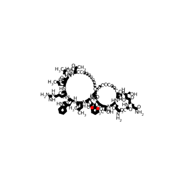 CC(=O)N[C@@H](CCC(N)=O)C(=O)C(=O)[C@H](CO)NN[C@]1(C)CCCCCCCC[C@@]2(CCCCCCCCCC[C@@](C)(C(C)=O)NN[C@@H](CC(C)C)C(=O)C(=O)[C@H](CC(C)C)NC(=O)C(CCCNC(=N)N)NC(=O)[C@H](Cc3c[nH]c4ccccc34)NC(=O)C(CC(C)C)NC(=O)[C@H](CC(N)=O)NC2=O)NN[C@@H](Cc2ccccc2)C(=O)C(=O)[C@H]([C@@H](C)O)NC(=O)[C@H](CCC(N)=O)NC1=O